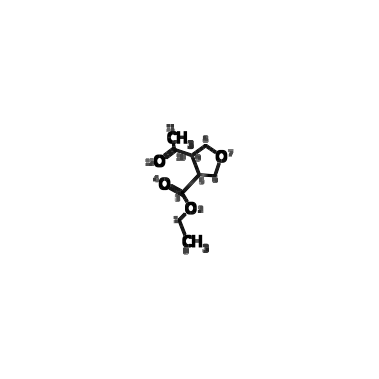 CCOC(=O)C1COCC1C(C)=O